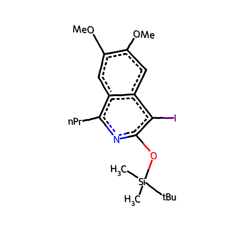 CCCc1nc(O[Si](C)(C)C(C)(C)C)c(I)c2cc(OC)c(OC)cc12